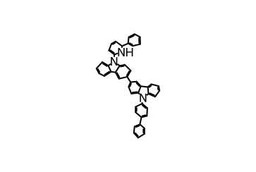 C1=CC(c2ccccc2)NC(n2c3ccccc3c3cc(-c4ccc5c(c4)c4ccccc4n5-c4ccc(-c5ccccc5)cc4)ccc32)=C1